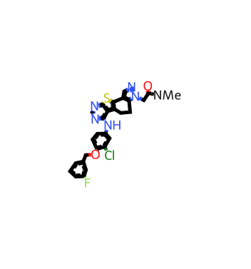 CNC(=O)Cn1ncc2c1CCc1c-2sc2ncnc(Nc3ccc(OCc4cccc(F)c4)c(Cl)c3)c12